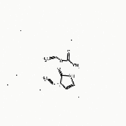 C=COC(C)=O.C=C[C@H]1C=CNC1=O